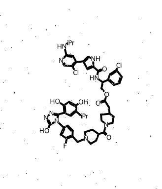 CC(C)Nc1cc(-c2c[nH]c(C(=O)NC(COC(=O)CC3CCN(C(=O)C4CCN(Cc5ccc(-n6c(O)nnc6-c6cc(C(C)C)c(O)cc6O)cc5F)CC4)CC3)c3cccc(Cl)c3)c2)c(Cl)cn1